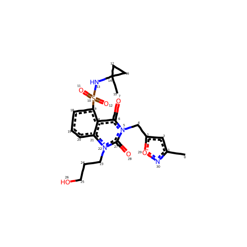 Cc1cc(Cn2c(=O)c3c(S(=O)(=O)NC4(C)CC4)cccc3n(CCCO)c2=O)on1